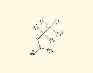 BN(CC(B)(B)C(B)(B)C(=O)O)C(C)(C)C